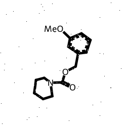 COc1cccc(COC(=O)N2CCCCC2)c1